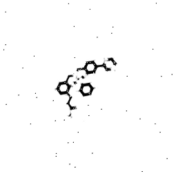 COC(=O)CCc1cccc(CN(Cc2ccc(-c3cnccn3)cc2)S(=O)(=O)c2ccccc2)c1